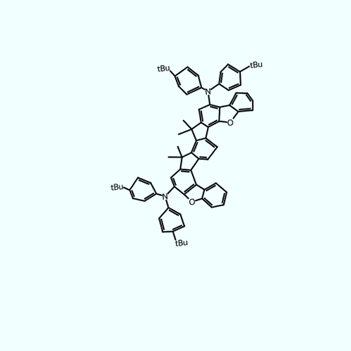 CC(C)(C)c1ccc(N(c2ccc(C(C)(C)C)cc2)c2cc3c(c4c2oc2ccccc24)-c2ccc4c(c2C3(C)C)C(C)(C)c2cc(N(c3ccc(C(C)(C)C)cc3)c3ccc(C(C)(C)C)cc3)c3c(oc5ccccc53)c2-4)cc1